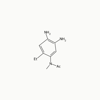 CCc1cc(N)c(N)cc1N(C)C(C)=O